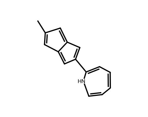 CC1=CC2=CC(C3=CC=CC=CN3)=CC2=C1